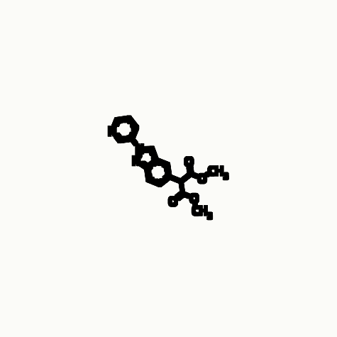 COC(=O)C(C(=O)OC)c1ccc2nn(-c3cccnc3)cc2c1